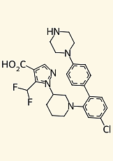 O=C(O)c1cnn(C2CCCN(c3cc(Cl)ccc3-c3ccc(N4CCNCC4)cc3)C2)c1C(F)F